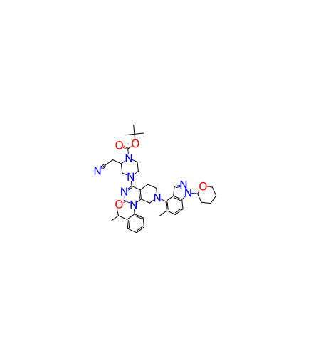 Cc1ccc2c(cnn2C2CCCCO2)c1N1CCc2c(N3CCN(C(=O)OC(C)(C)C)C(CC#N)C3)nc(=O)n(-c3ccccc3C(C)C)c2C1